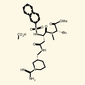 CC(=O)O.CCC(C)[C@@H](C(=O)OC)N(C)C(=O)[C@H](CC(=O)NC[C@@H]1CCCN(C(=N)N)C1)NS(=O)(=O)c1ccc2ccccc2c1